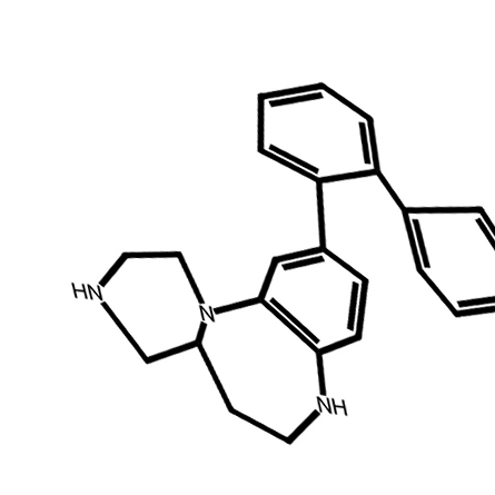 c1ccc(-c2ccccc2-c2ccc3c(c2)N2CCNCC2CCN3)cc1